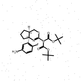 CC(C)(C)OC(=O)N(C(=O)OC(C)(C)C)C1=N[C@@]2(c3cc(N)ccc3F)CCC[C@H]2CS1